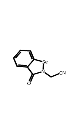 N#CCn1[se]c2ccccc2c1=O